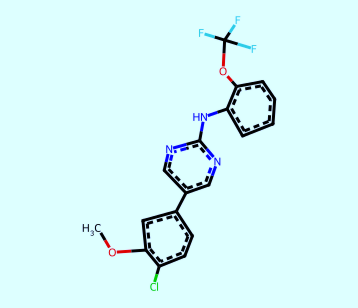 COc1cc(-c2cnc(Nc3ccccc3OC(F)(F)F)nc2)ccc1Cl